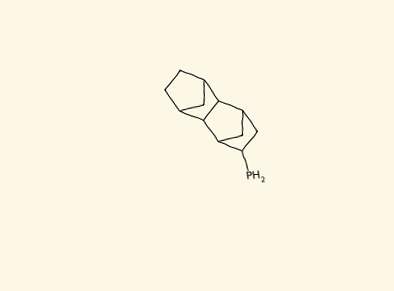 PC1CC2CC1C1C3CCC(C3)C21